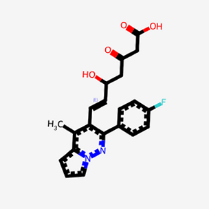 Cc1c(/C=C/C(O)CC(=O)CC(=O)O)c(-c2ccc(F)cc2)nn2cccc12